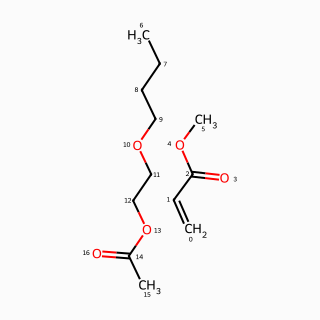 C=CC(=O)OC.CCCCOCCOC(C)=O